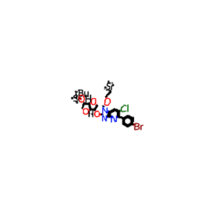 CC(C)(C)[Si](C)(C)O[C@@H]1CO[C@@H]2[C@H]1OC[C@H]2Oc1nc2nc(-c3ccc(Br)cc3)c(Cl)cc2n1COCC[Si](C)(C)C